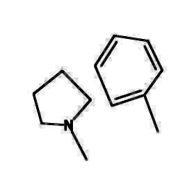 CN1CCCC1.Cc1ccccc1